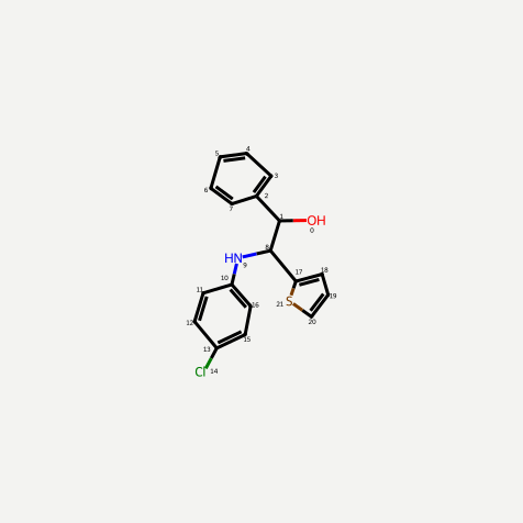 OC(c1ccccc1)C(Nc1ccc(Cl)cc1)c1cccs1